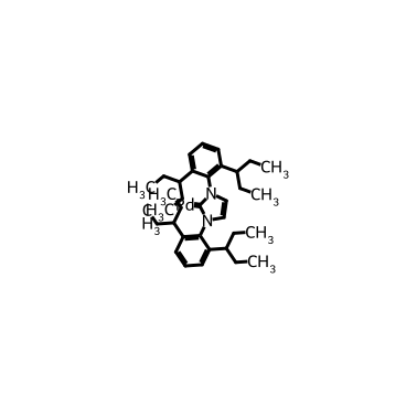 CCC(CC)c1cccc(C(CC)CC)c1-n1ccn(-c2c(C(CC)CC)cccc2C(CC)CC)[c]1=[Pd]